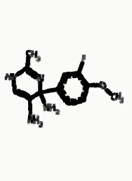 COc1ccc(C2(N)N=C(C)NC=C2N)cc1F